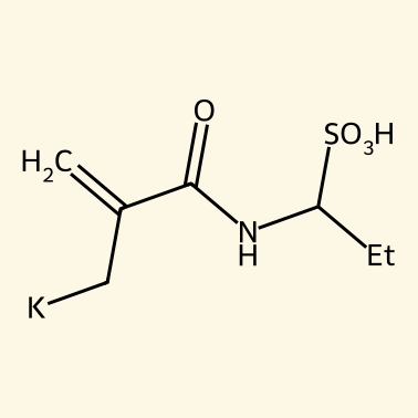 C=C([CH2][K])C(=O)NC(CC)S(=O)(=O)O